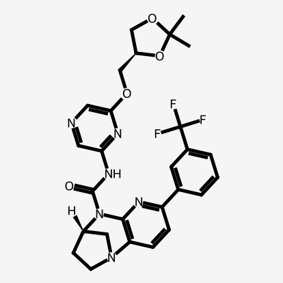 CC1(C)OC[C@H](COc2cncc(NC(=O)N3c4nc(-c5cccc(C(F)(F)F)c5)ccc4N4CC[C@H]3C4)n2)O1